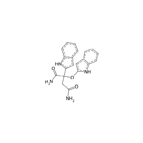 NC(=O)CC(Oc1cc2ccccc2[nH]1)(C(N)=O)c1cc2ccccc2[nH]1